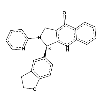 O=c1c2c([nH]c3ccccc13)[C@@H](c1ccc3c(c1)CCO3)N(c1ccccn1)C2